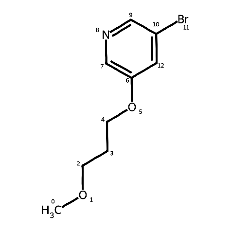 COCCCOc1cncc(Br)c1